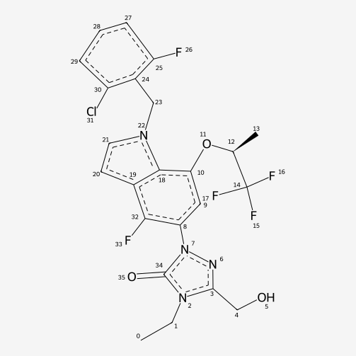 CCn1c(CO)nn(-c2cc(O[C@@H](C)C(F)(F)F)c3c(ccn3Cc3c(F)cccc3Cl)c2F)c1=O